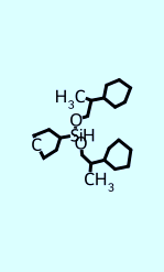 CC(CO[SiH](OCC(C)C1CCCCC1)C1CCCCC1)C1CCCCC1